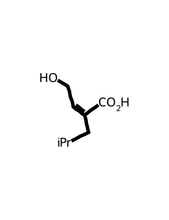 CC(C)C/C(=C/CO)C(=O)O